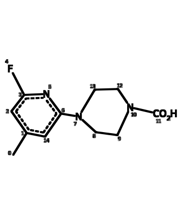 Cc1cc(F)nc(N2CCN(C(=O)O)CC2)c1